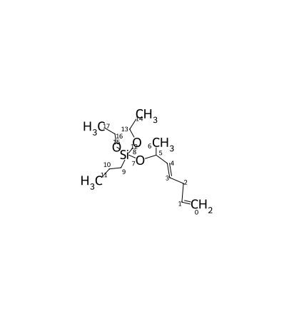 C=CCC=CC(C)O[Si](CCC)(OCC)OCC